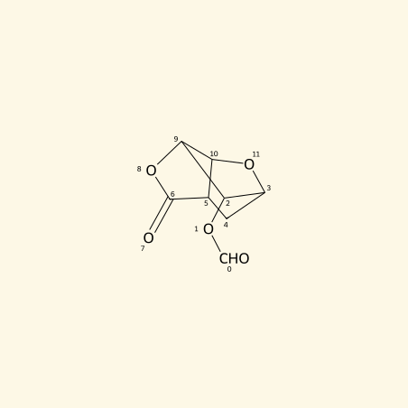 O=COC1C2CC3C(=O)OC1C3O2